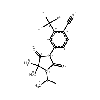 CC(I)N1C(=O)N(c2ccc(C#N)c(C(F)(F)F)c2)C(=O)C1(C)C